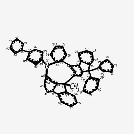 CC12c3cc(c4c(c3)C(c3ccccc3)(c3ccccc3)c3ccccc3-4)-c3ccccc3N(c3ccc(-c4ccccc4)cc3)c3ccc(c1c3)-c1ccccc12